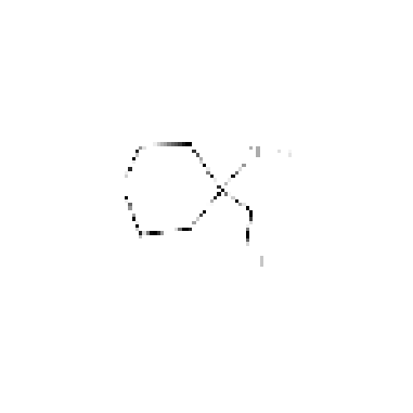 CC(=O)NC1(CO)CCOCC1